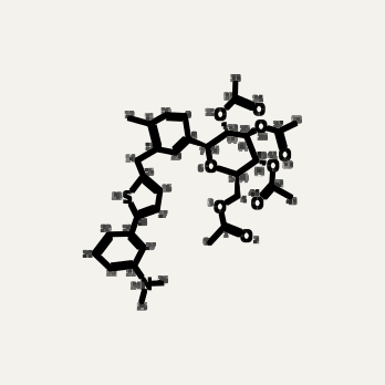 CC(=O)OC[C@H]1O[C@@H](c2ccc(C)c(Cc3ccc(-c4cccc(N(C)C)c4)s3)c2)[C@H](OC(C)=O)[C@@H](OC(C)=O)[C@@H]1OC(C)=O